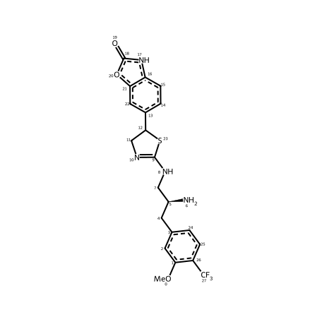 COc1cc(C[C@H](N)CNC2=NCC(c3ccc4[nH]c(=O)oc4c3)S2)ccc1C(F)(F)F